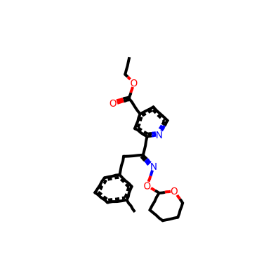 CCOC(=O)c1ccnc(/C(Cc2cccc(C)c2)=N/OC2CCCCO2)c1